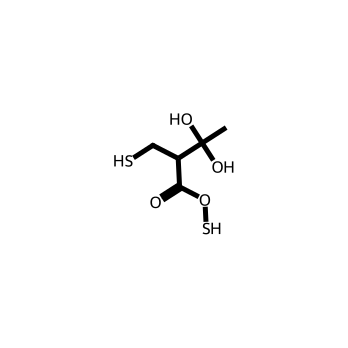 CC(O)(O)C(CS)C(=O)OS